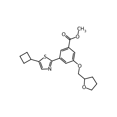 COC(=O)c1cc(OCC2CCCO2)cc(-c2ncc(C3CCC3)s2)c1